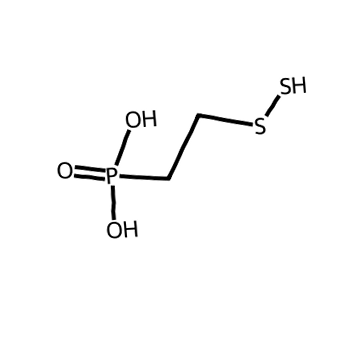 O=P(O)(O)CCSS